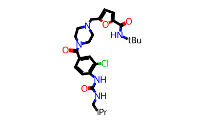 CC(C)CNC(=O)Nc1ccc(C(=O)N2CCN(Cc3ccc(C(=O)NC(C)(C)C)o3)CC2)cc1Cl